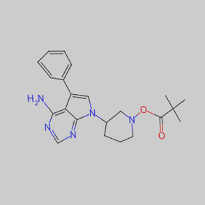 CC(C)(C)C(=O)ON1CCCC(n2cc(-c3ccccc3)c3c(N)ncnc32)C1